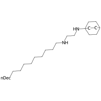 CCCCCCCCCCCCCCCCCCCNCCNC12CCC(CC1)CC2